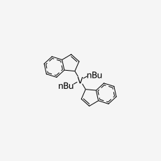 CCC[CH2][V]([CH2]CCC)([CH]1C=Cc2ccccc21)[CH]1C=Cc2ccccc21